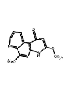 COc1cc2[nH]c(OC(=O)O)cc(=O)c2c2cccnc12